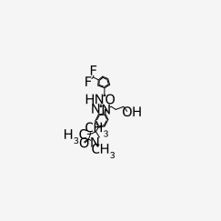 CN1CC(c2ccc3c(c2)nc(NC(=O)c2cccc(C(F)F)c2)n3CCCO)C(C)(C)C1=O